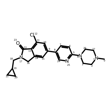 CN1CCN(c2ccc(-c3cc(Cl)c4c(c3)CN(CC3CC3)C4=O)cn2)CC1